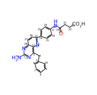 Nc1nc(Cc2ccccc2)c2nc(-c3ccc(NC(=O)CCC(=O)O)cc3)ccc2n1